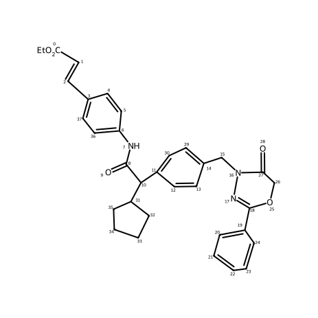 CCOC(=O)/C=C/c1ccc(NC(=O)C(c2ccc(CN3N=C(c4ccccc4)OCC3=O)cc2)C2CCCC2)cc1